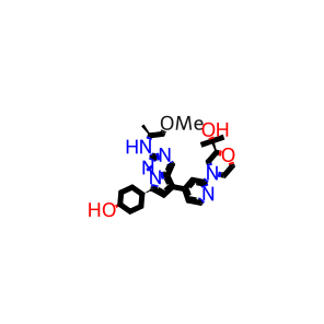 COC[C@H](C)Nc1ncc2c(-c3ccnc(N4CCO[C@H](C(C)(C)O)C4)c3)cc([C@H]3CC[C@H](O)CC3)n2n1